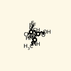 COc1cc(CC(=O)O)ccc1Oc1ccc2[nH]c(C)cc2c1NS(=O)(=O)c1ccc(OCC(F)(F)F)cc1Cl